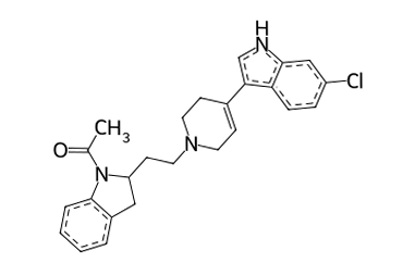 CC(=O)N1c2ccccc2CC1CCN1CC=C(c2c[nH]c3cc(Cl)ccc23)CC1